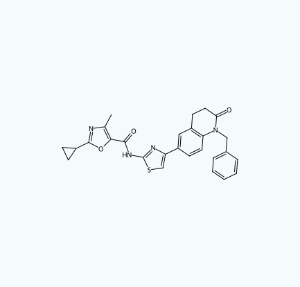 Cc1nc(C2CC2)oc1C(=O)Nc1nc(-c2ccc3c(c2)CCC(=O)N3Cc2ccccc2)cs1